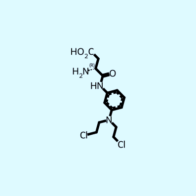 N[C@H](CC(=O)O)C(=O)Nc1cccc(N(CCCl)CCCl)c1